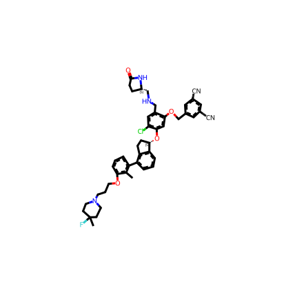 Cc1c(OCCCN2CCC(C)(F)CC2)cccc1-c1cccc2c1CC[C@@H]2Oc1cc(OCc2cc(C#N)cc(C#N)c2)c(CNC[C@@H]2CCC(=O)N2)cc1Cl